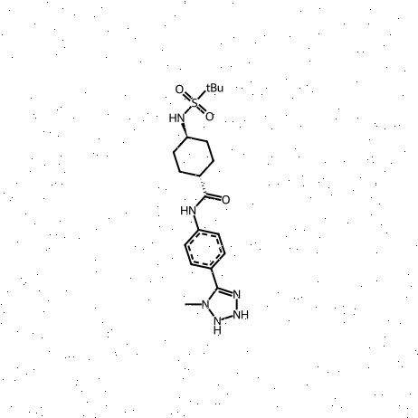 CN1NNN=C1c1ccc(NC(=O)[C@H]2CC[C@H](NS(=O)(=O)C(C)(C)C)CC2)cc1